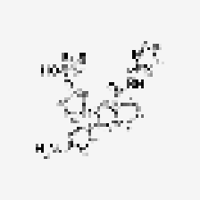 NCc1ccc(-c2nc3ccnc(C(=O)NCc4ccccn4)c3cc2-c2ccccc2)cc1.O=C(O)C(F)(F)F